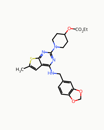 CCOC(=O)OC1CCN(c2nc(NCc3ccc4c(c3)OCO4)c3cc(C)sc3n2)CC1